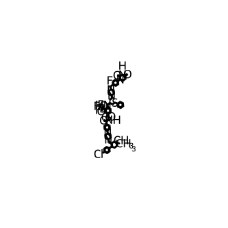 CC1(C)CCC(c2ccc(Cl)cc2)=C(CN2CCN(c3ccc(C(=O)NS(=O)(=O)c4ccc(N[C@H](CCN5CCN(Cc6ccc(N7CCC(=O)NC7=O)cc6F)CC5)CSc5ccccc5)c(S(=O)(=O)C(F)(F)F)c4)cc3)CC2)C1